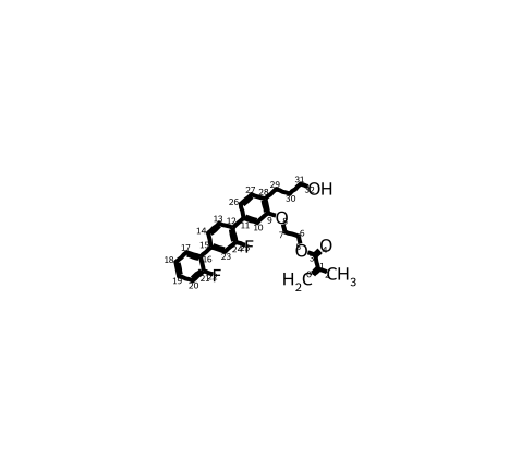 C=C(C)C(=O)OCCOc1cc(-c2ccc(-c3ccccc3F)cc2F)ccc1CCCO